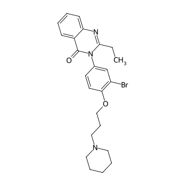 CCc1nc2ccccc2c(=O)n1-c1ccc(OCCCN2CCCCC2)c(Br)c1